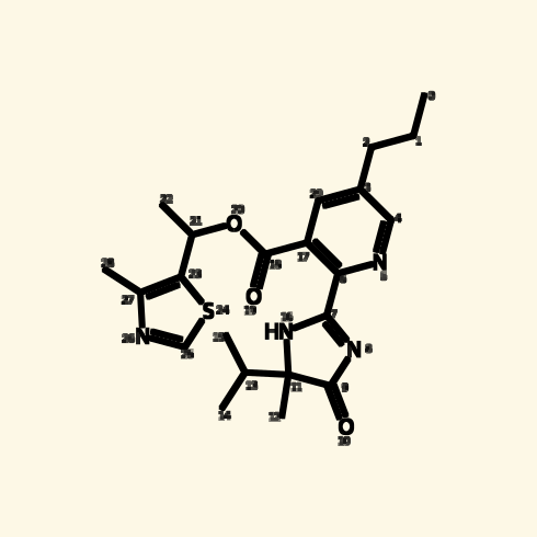 CCCc1cnc(C2=NC(=O)C(C)(C(C)C)N2)c(C(=O)OC(C)c2scnc2C)c1